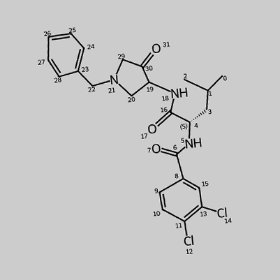 CC(C)C[C@H](NC(=O)c1ccc(Cl)c(Cl)c1)C(=O)NC1CN(Cc2ccccc2)CC1=O